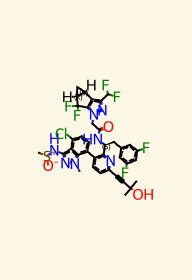 Cn1nc(N[S+](C)[O-])c2c(Cl)ccc(-c3ccc(C#CC(C)(C)O)nc3[C@H](Cc3cc(F)cc(F)c3)NC(=O)Cn3nc(C(F)F)c4c3C(F)(F)[C@@H]3C[C@H]43)c21